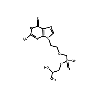 CC(O)COP(=O)(O)COCCn1cnc2c(=O)[nH]c(N)nc21